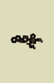 NC(=O)C[C@H](NC(=O)c1ccc2ccccc2n1)C(=O)NN1CCC[C@H]1C(N)=O